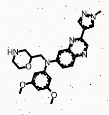 COc1cc(OC)cc(N(CC2CNCCO2)c2ccc3ncc(-c4cnn(C)c4)nc3c2)c1